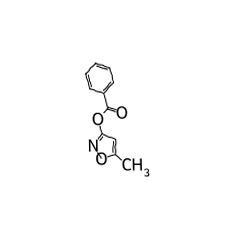 Cc1cc(OC(=O)c2ccccc2)no1